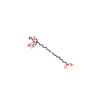 CCC(CC)(CCCCCCCCCCCCCCCCCC(=O)O)C(=O)O